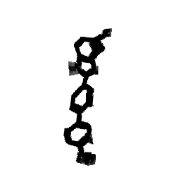 COc1ccc(-c2ccc(-c3nc4cc(Cl)ccc4[nH]3)cc2)cn1